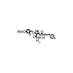 COc1ccc(COc2nsc(NC(=O)NCCCN3CCN(C)CC3)c2C(N)=O)c(F)c1